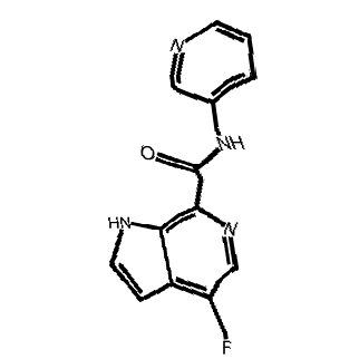 O=C(Nc1cccnc1)c1ncc(F)c2cc[nH]c12